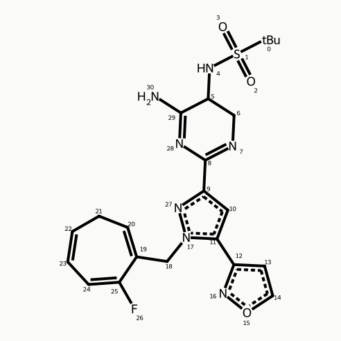 CC(C)(C)S(=O)(=O)NC1CN=C(c2cc(-c3ccon3)n(CC3=CCC=CC=C3F)n2)N=C1N